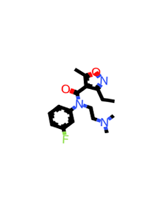 CCc1noc(C)c1C(=O)N(CCN(C)C)c1cccc(F)c1